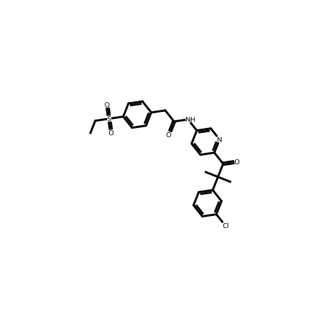 CCS(=O)(=O)c1ccc(CC(=O)Nc2ccc(C(=O)C(C)(C)c3cccc(Cl)c3)nc2)cc1